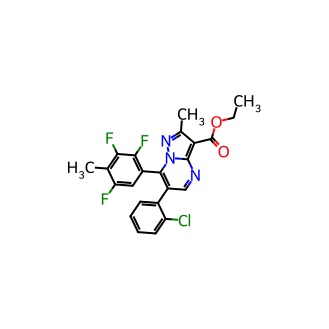 CCOC(=O)c1c(C)nn2c(-c3cc(F)c(C)c(F)c3F)c(-c3ccccc3Cl)cnc12